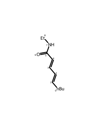 CCCC/C=C/C=C/C(=O)NCC